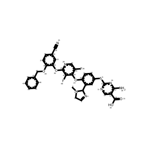 CN1CC=NC1c1cc(Sc2ncc(C(=O)O)c(N)n2)ccc1Oc1c(F)cnc(Oc2cc(C#N)ccc2OCc2ccccc2)c1F